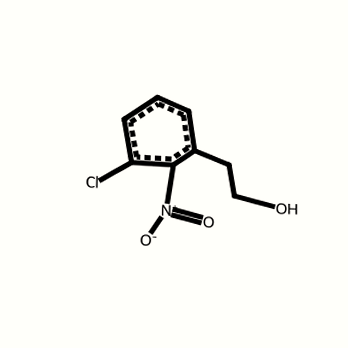 O=[N+]([O-])c1c(Cl)cccc1CCO